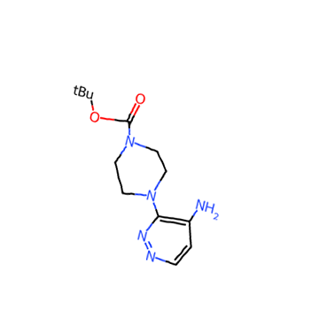 CC(C)(C)OC(=O)N1CCN(c2nnccc2N)CC1